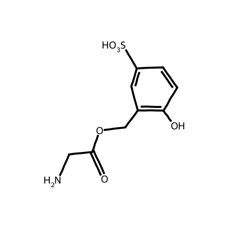 NCC(=O)OCc1cc(S(=O)(=O)O)ccc1O